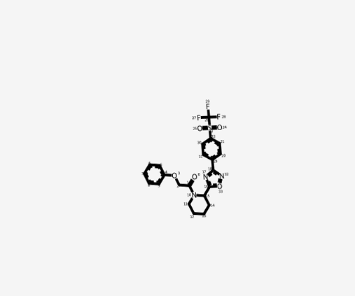 O=C(COc1ccccc1)N1CCCCC1c1nc(-c2ccc(S(=O)(=O)C(F)(F)F)cc2)no1